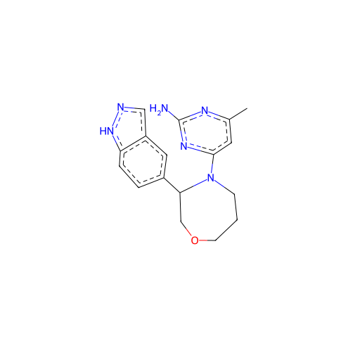 Cc1cc(N2CCCOCC2c2ccc3[nH]ncc3c2)nc(N)n1